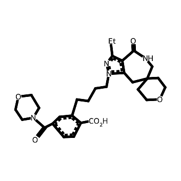 CCc1nn(CCCCc2cc(C(=O)N3CCOCC3)ccc2C(=O)O)c2c1C(=O)NCC1(CCOCC1)C2